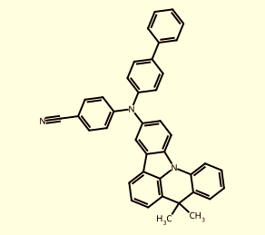 CC1(C)c2ccccc2-n2c3ccc(N(c4ccc(C#N)cc4)c4ccc(-c5ccccc5)cc4)cc3c3cccc1c32